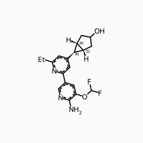 CCc1cc([C@H]2[C@@H]3CC(O)C[C@@H]32)cc(-c2cnc(N)c(OC(F)F)c2)n1